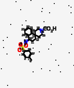 Cc1ccc(S(=O)(=O)ON=C2CCC3(CCN(C(=O)O)CC3)c3ccccc32)cc1